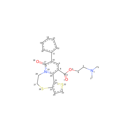 CN(C)CCOC(=O)c1cc(-c2ccccc2)c(=O)n2c1-c1sccc1SCC2